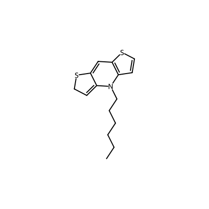 CCCCCCN1C2=CCSC2=Cc2sccc21